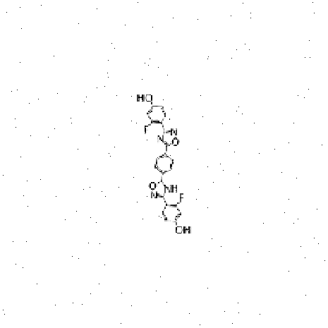 Oc1ccc(C2=NOC(c3ccc(-c4nc(-c5ccc(O)cc5F)no4)cc3)N2)c(F)c1